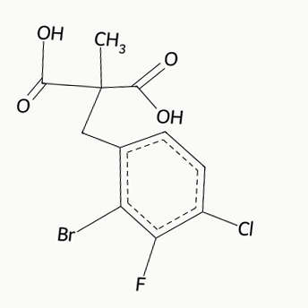 CC(Cc1ccc(Cl)c(F)c1Br)(C(=O)O)C(=O)O